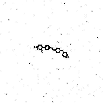 O=C1CC[C@@H](c2ccc(OCC3CCN(CC4CCNCC4)CC3)cc2)C(=O)N1